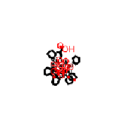 C/C(=C\C[Si]12O[Si]3(C4CCCCC4)O[Si]4(C5CCCCC5)O[Si](C5CCCCC5)(O1)O[Si]1(C5CCCCC5)O[Si](C5CCCCC5)(O2)O[Si](C2CCCCC2)(O3)O[Si](C2CCCCC2)(O4)O1)C(=O)O